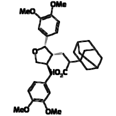 COc1ccc(C[C@H]2CO[C@H](c3ccc(OC)c(OC)c3)[C@@H]2CC(C(=O)O)C23CC4CC(CC(C4)C2)C3)cc1OC